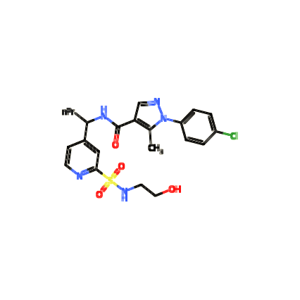 CCCC(NC(=O)c1cnn(-c2ccc(Cl)cc2)c1C)c1ccnc(S(=O)(=O)NCCO)c1